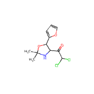 CC1(C)NC(C(=O)C(Cl)Cl)C(c2ccco2)O1